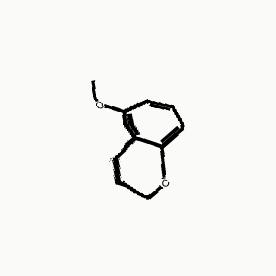 COc1cccc2c1[C]CCO2